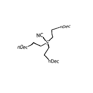 CCCCCCCCCCCCS(C#N)(CCCCCCCCCCCC)CCCCCCCCCCCC